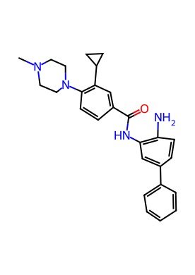 CN1CCN(c2ccc(C(=O)Nc3cc(-c4ccccc4)ccc3N)cc2C2CC2)CC1